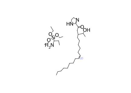 CCCCCCCC/C=C\CCCCCC(CC(=O)C1=NCCN1)C(C)O.CCO[Si](OCC)(OCC)C(N)CC